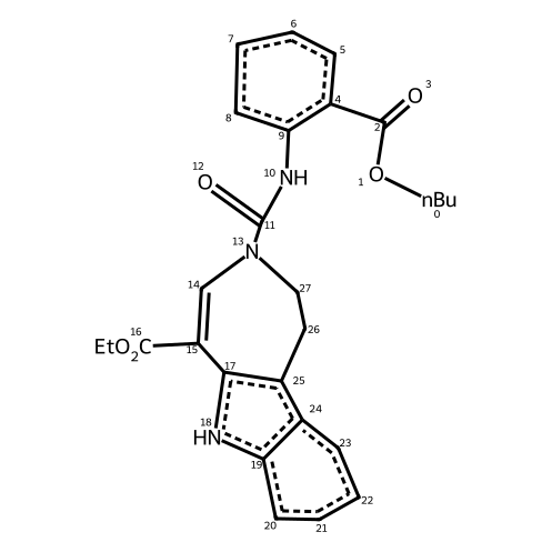 CCCCOC(=O)c1ccccc1NC(=O)N1C=C(C(=O)OCC)c2[nH]c3ccccc3c2CC1